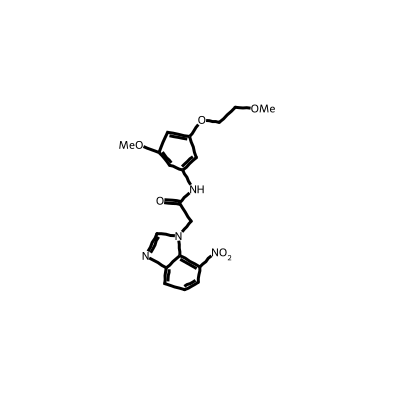 COCCOc1cc(NC(=O)Cn2cnc3cccc([N+](=O)[O-])c32)cc(OC)c1